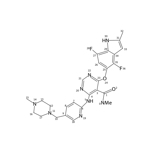 CNC(=O)c1c(Nc2ccc(CN3CCN(C)CC3)cn2)ncnc1Oc1cc(F)c2[nH]c(C)cc2c1F